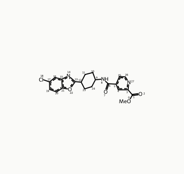 COC(=O)c1cc(C(=O)NC2CCC(c3nc4cc(Cl)ccc4o3)CC2)ccn1